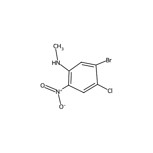 CNc1cc(Br)c(Cl)cc1[N+](=O)[O-]